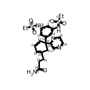 CCS(=O)(=O)Nc1cc(NS(=O)(=O)CC)cc(C2(c3cnccn3)C=CC=C(CCC(N)=O)C2)c1